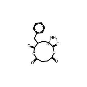 N[C@H]1CC(Cc2ccccc2)C(=O)OC(=O)CCC(=O)OC1=O